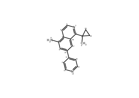 CC1(c2nccc3c(N)cc(-c4ccncc4)cc23)CC1